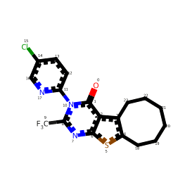 O=c1c2c3c(sc2nc(C(F)(F)F)n1-c1ccc(Cl)cn1)CCCCCC3